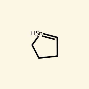 [CH]1=[SnH][CH2]CC1